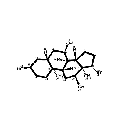 CC(C)[C@H]1CC[C@H]2[C@@H]3[C@H](O)C[C@H]4C[C@H](O)CC[C@]4(C)[C@H]3C[C@H](O)[C@]12C